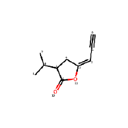 C#C/C=C1\CC(C(C)C)C(=O)O1